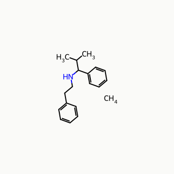 C.CC(C)C(NCCc1ccccc1)c1ccccc1